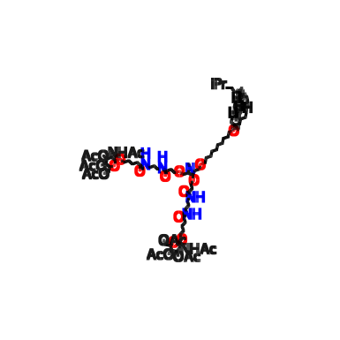 CC(=O)NC1C(OCCCCC(=O)NCCCNC(=O)CCOCC2C(OCCC(=O)NCCCNC(=O)CCCCOC3OC(COC(C)=O)C(OC(C)=O)C(OC(C)=O)C3NC(C)=O)C(COCCCCCCCCCCO[C@@H]3C=C4CC[C@H]5[C@@H]6CC[C@H]([C@H](C)CCCC(C)C)[C@H]6CC[C@@H]5[C@@]4(C)CC3)N2C)OC(COC(C)=O)C(OC(C)=O)C1OC(C)=O